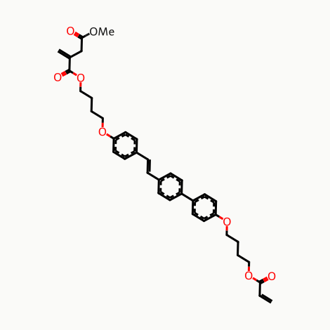 C=CC(=O)OCCCCOc1ccc(-c2ccc(/C=C/c3ccc(OCCCCOC(=O)C(=C)CC(=O)OC)cc3)cc2)cc1